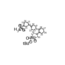 CC(C)(C)OC(=O)N1CC(c2cccc(-c3cccc(S(C)(=O)=O)c3)c2)C(c2ccccc2)CC1=O